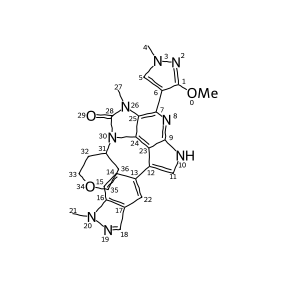 COc1nn(C)cc1-c1nc2[nH]cc(-c3ccc4c(cnn4C)c3)c2c2c1n(C)c(=O)n2C1CCOCC1